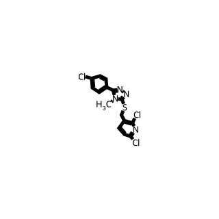 Cn1c(SCc2ccc(Cl)nc2Cl)nnc1-c1ccc(Cl)cc1